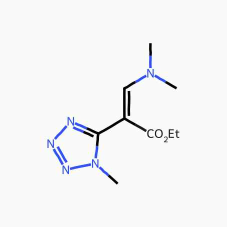 CCOC(=O)C(=CN(C)C)c1nnnn1C